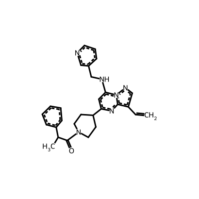 C=Cc1cnn2c(NCc3cccnc3)cc(C3CCN(C(=O)C(C)c4ccccc4)CC3)nc12